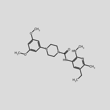 CCc1cc(NC(=O)N2CCN(c3cc(OC)cc(OC)c3)CC2)c(NC)nc1C